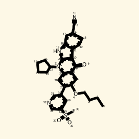 CCCCOc1cc2c(=O)c3c4ccc(C#N)cc4[nH]c3n(C3CCCC3)c2cc1-c1cncc(S(=O)(=O)F)c1